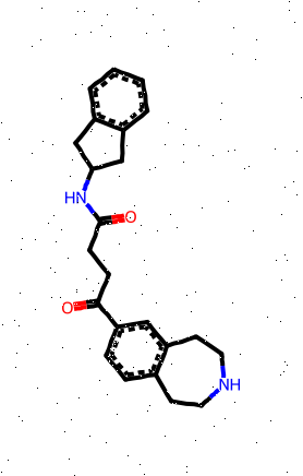 O=C(CCC(=O)c1ccc2c(c1)CCNCC2)NC1Cc2ccccc2C1